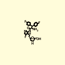 NC(C(=O)Nc1cncc(F)c1CC[C@@H]1CNC[C@@H](CO)O1)C(c1ccc(F)cc1)c1ccc(F)cc1